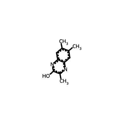 Cc1cc2nc(C)c(O)nc2cc1C